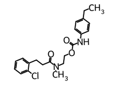 CCc1ccc(NC(=O)OCCN(C)C(=O)CCc2ccccc2Cl)cc1